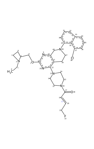 CCN1CCC1COc1nc2c(c(N3CCN(C(=O)/C=C/CF)CC3)n1)CCN(c1cccc3cccc(Cl)c13)C2